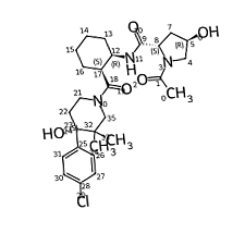 CC(=O)N1C[C@H](O)C[C@H]1C(=O)N[C@@H]1CCCC[C@@H]1C(=O)N1CC[C@](O)(c2ccc(Cl)cc2)C(C)(C)C1